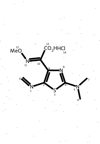 C=Nc1sc(N(C)C)nc1C(=NOC)C(=O)O.Cl